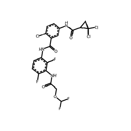 O=C(COC(F)F)Nc1c(F)ccc(NC(=O)c2cc(NC(=O)C3CC3(Cl)Cl)ccc2Cl)c1F